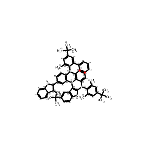 Cc1cc(C(C)(C)C)cc(C)c1N1c2cccc3c2B(c2cc(C4Oc5ccccc5C4C)ccc2N3c2c(C)cc(C(C)(C)C)cc2-c2ccccc2)c2c1oc1ccc(C(C)(C)C)cc21